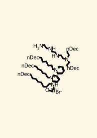 CCCCCCCCCCCCCCCCC1CNCCO1.CCCCCCCCCCCCCCCC[n+]1ccccc1.CCCCCCCCCCCCCCCC[n+]1ccccc1.CCCCCCCCCCCCN(CCCCCCCCCCCC)CCNCCNCCN.[Br-].[Cl-]